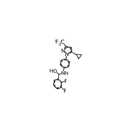 OC(Nc1ccc(-n2nc(C(F)(F)F)cc2C2CC2)cc1)c1cccc(F)c1F